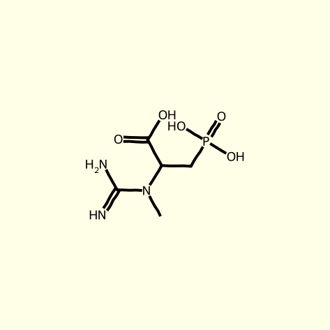 CN(C(=N)N)C(CP(=O)(O)O)C(=O)O